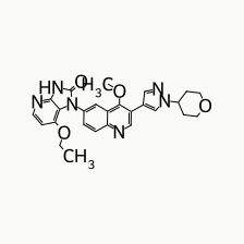 CCOc1ccnc2[nH]c(=O)n(-c3ccc4ncc(-c5cnn(C6CCOCC6)c5)c(OC)c4c3)c12